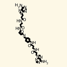 Nc1ncnc2c1ncn2CCC(=O)NCCC(=O)Nc1ccc(/C=N/c2ccc(NC(=O)CCNC(=O)CCn3cnc4c(N)ncnc43)o2)cc1